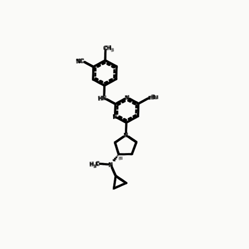 CCCCc1cc(N2CC[C@H](N(C)C3CC3)C2)nc(Nc2ccc(C)c(C#N)c2)n1